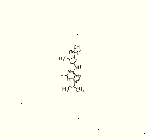 CC(C)n1cnc2c(N[C@H]3C[C@@H](C)N(S(C)(=O)=O)C3)nc(F)nc21